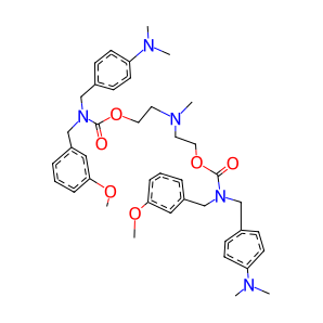 COc1cccc(CN(Cc2ccc(N(C)C)cc2)C(=O)OCCN(C)CCOC(=O)N(Cc2ccc(N(C)C)cc2)Cc2cccc(OC)c2)c1